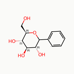 OC[C@H]1OC(c2[c]cccc2)[C@H](O)[C@@H](O)[C@@H]1O